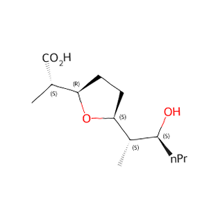 CCC[C@H](O)[C@H](C)[C@@H]1CC[C@H]([C@H](C)C(=O)O)O1